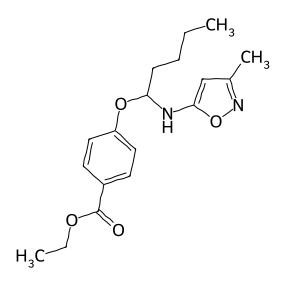 CCCCC(Nc1cc(C)no1)Oc1ccc(C(=O)OCC)cc1